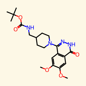 COc1cc2c(N3CCC(CNC(=O)OC(C)(C)C)CC3)n[nH]c(=O)c2cc1OC